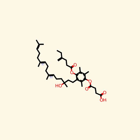 C=C(CC)CCC(=O)Oc1c(C)c(C)c(OC(=O)CCC(=O)O)c(C)c1CCC(C)(O)CC/C=C(\C)CC/C=C(\C)CCC=C(C)C